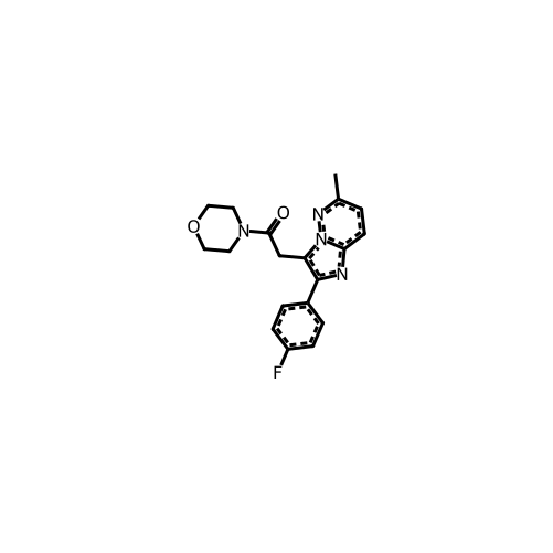 Cc1ccc2nc(-c3ccc(F)cc3)c(CC(=O)N3CCOCC3)n2n1